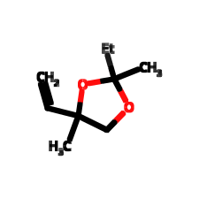 C=CC1(C)COC(C)(CC)O1